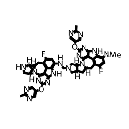 CNc1cc(F)c2c3c1[nH]c1nc(Oc4cnc(C)nc4)nc(c13)N1[C@@H](C2)C[C@@H]2CN(CNc3cc(F)c4c5c3[nH]c3nc(Oc6cnc(C)nc6)nc(c35)N3[C@H]5CN[C@H](C5)[C@@H]3C4)C[C@@H]21